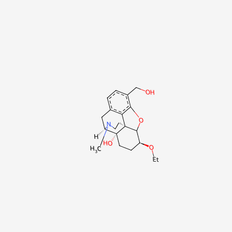 CCO[C@H]1CC[C@@]2(O)[C@H]3Cc4ccc(CO)c5c4[C@@]2(CCN3C)C1O5